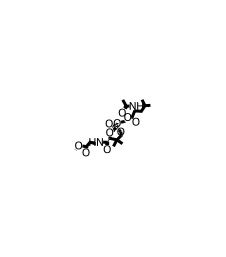 COC(=O)CCNC(=O)[C@@H]1OP(=O)(OCOC(=O)C(CC(C)C)NC(C)=O)OCC1(C)C